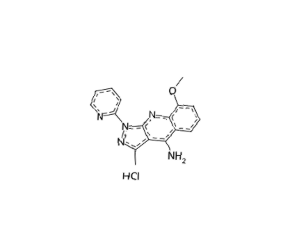 COc1cccc2c(N)c3c(C)nn(-c4ccccn4)c3nc12.Cl